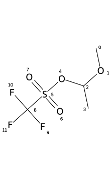 COC(C)OS(=O)(=O)C(F)(F)F